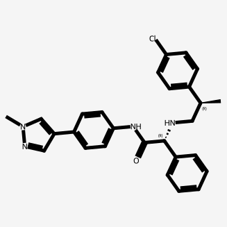 C[C@@H](CN[C@@H](C(=O)Nc1ccc(-c2cnn(C)c2)cc1)c1ccccc1)c1ccc(Cl)cc1